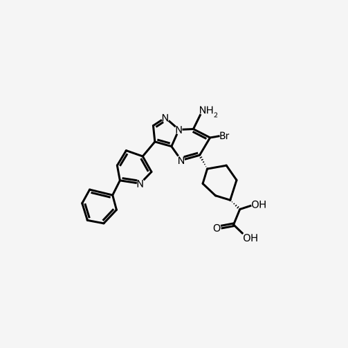 Nc1c(Br)c([C@H]2CC[C@@H](C(O)C(=O)O)CC2)nc2c(-c3ccc(-c4ccccc4)nc3)cnn12